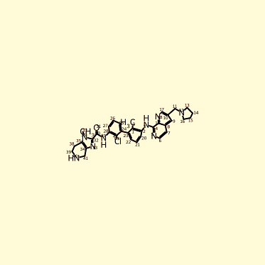 Cc1c(Nc2nccc3cc(CN4CCCC4)cnc23)cccc1-c1cccc(NC(=O)c2nc3c(n2C)CCNC3)c1Cl